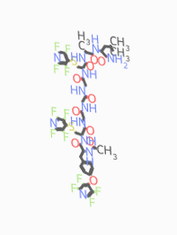 CC(=O)NC(Cc1ccc(Oc2c(F)c(F)nc(F)c2F)cc1)C(=O)NC(CSc1c(F)c(F)nc(F)c1F)C(=O)NCC(=O)NCC(=O)NCC(=O)NC(CSc1c(F)c(F)nc(F)c1F)C(=O)NC(C)C(=O)NC(CC(C)C)C(N)=O